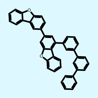 c1ccc(-c2cccc(-c3cccc(-c4cc(-c5ccc6oc7ccccc7c6c5)cc5oc6ccccc6c45)c3)c2)cc1